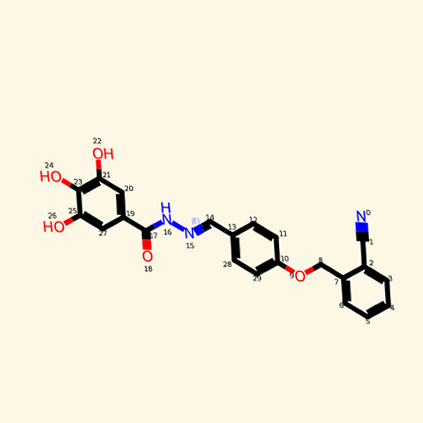 N#Cc1ccccc1COc1ccc(/C=N/NC(=O)c2cc(O)c(O)c(O)c2)cc1